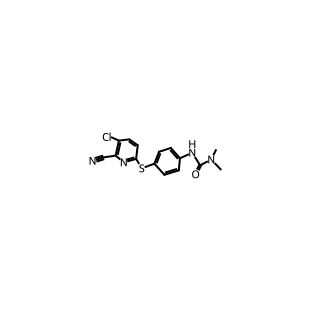 CN(C)C(=O)Nc1ccc(Sc2ccc(Cl)c(C#N)n2)cc1